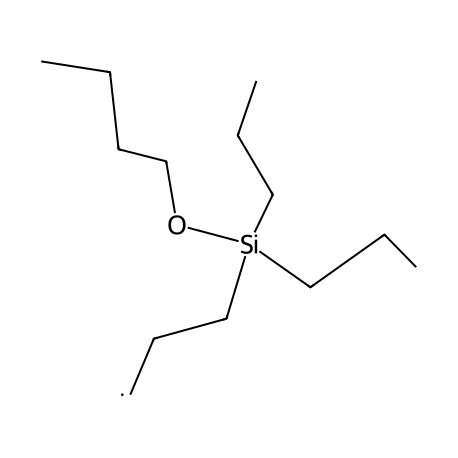 [CH2]CC[Si](CCC)(CCC)OCCCC